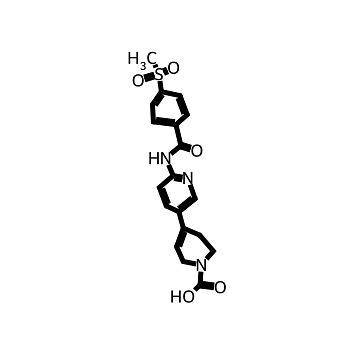 CS(=O)(=O)c1ccc(C(=O)Nc2ccc(C3=CCN(C(=O)O)CC3)cn2)cc1